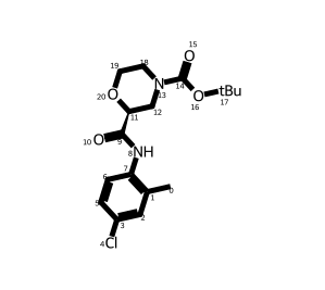 Cc1cc(Cl)ccc1NC(=O)[C@@H]1CN(C(=O)OC(C)(C)C)CCO1